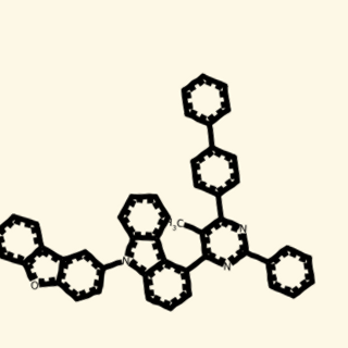 Cc1c(-c2ccc(-c3ccccc3)cc2)nc(-c2ccccc2)nc1-c1cccc2c1c1ccccc1n2-c1ccc2oc3ccccc3c2c1